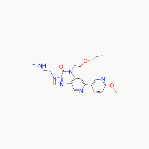 CCCOCCn1c(=O)c(NCCNC)nc2cnc(-c3ccc(OC)nc3)cc21